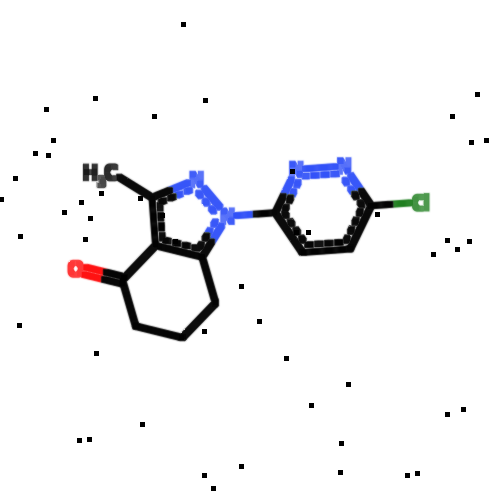 Cc1nn(-c2ccc(Cl)nn2)c2c1C(=O)CCC2